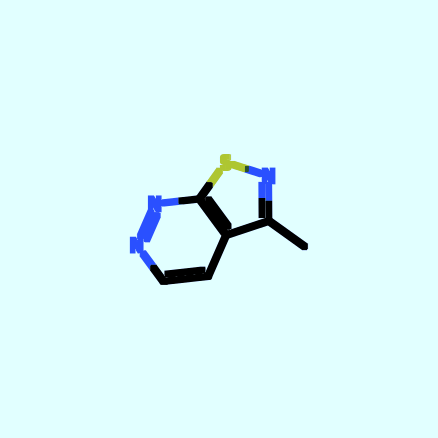 Cc1nsc2nnccc12